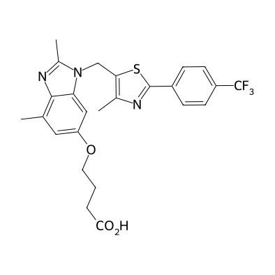 Cc1nc(-c2ccc(C(F)(F)F)cc2)sc1Cn1c(C)nc2c(C)cc(OCCCC(=O)O)cc21